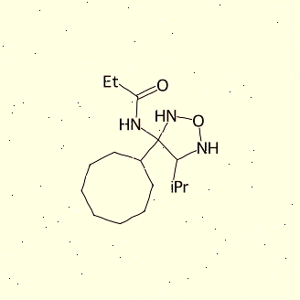 CCC(=O)NC1(C2CCCCCCC2)NONC1C(C)C